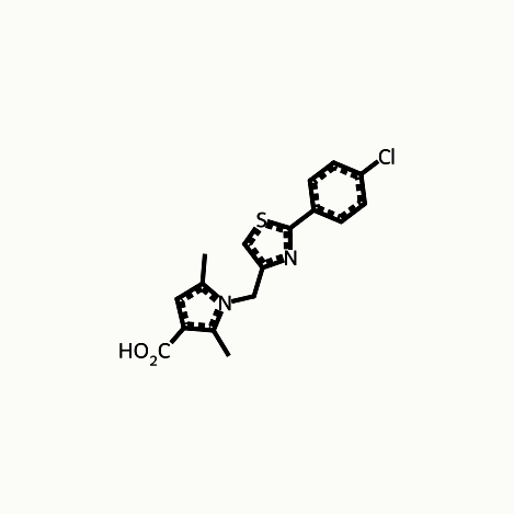 Cc1cc(C(=O)O)c(C)n1Cc1csc(-c2ccc(Cl)cc2)n1